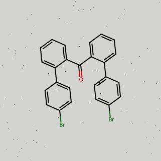 O=C(c1ccccc1-c1ccc(Br)cc1)c1ccccc1-c1ccc(Br)cc1